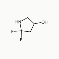 OC1CNC(F)(F)C1